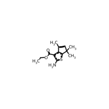 CCOC(=O)c1c(N)sc2c1C(C)=CC2(C)C